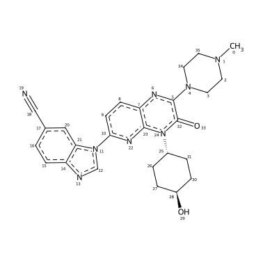 CN1CCN(c2nc3ccc(-n4cnc5ccc(C#N)cc54)nc3n([C@H]3CC[C@H](O)CC3)c2=O)CC1